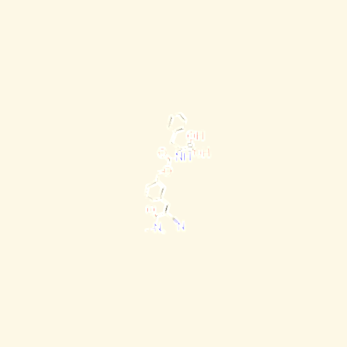 CN(C)C(=O)C(C#N)=Cc1cccc(COC(=O)N[C@@H](Cc2ccccc2)B(O)O)c1